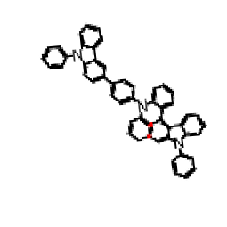 C1=CC(N(c2ccc(-c3ccc4c(c3)c3ccccc3n4-c3ccccc3)cc2)c2ccccc2-c2cccc3c2c2ccccc2n3-c2ccccc2)=CCC1